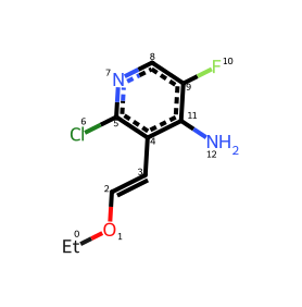 CCOC=Cc1c(Cl)ncc(F)c1N